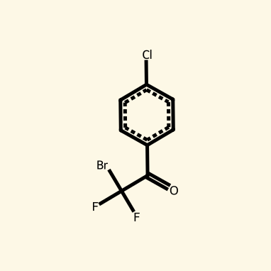 O=C(c1ccc(Cl)cc1)C(F)(F)Br